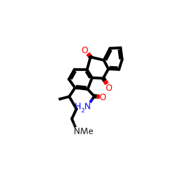 CNCCC(C)c1ccc2c(c1C(N)=O)C(=O)c1ccccc1C2=O